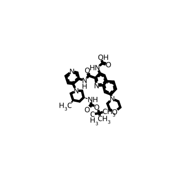 C[C@@H]1C[C@@H](NC(=O)OC(C)(C)C)CN(c2ccncc2NC(=O)c2nc3cc(N4CCOCC4)ccc3cc2NC(=O)O)C1